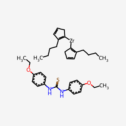 CCCCC1=[C]([Zr][C]2=C(CCCC)C=CC2)CC=C1.CCOc1ccc(NC(=S)Nc2ccc(OCC)cc2)cc1